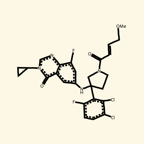 COC/C=C/C(=O)N1CCC(Nc2cc(F)c3ncn(C4CC4)c(=O)c3c2)(c2c(F)ccc(Cl)c2Cl)C1